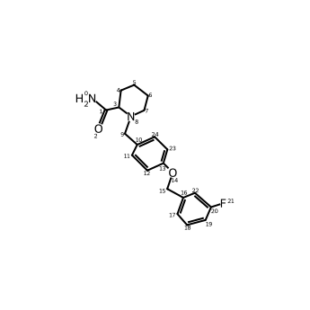 NC(=O)C1CCCCN1Cc1ccc(OCc2cccc(F)c2)cc1